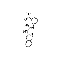 COC(=O)c1cccc2nc(Nc3cc4ccccc4cn3)[nH]c12